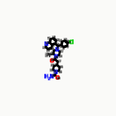 CC(C)[C@H]1CN(C(c2ccc(Cl)cc2)c2cccc3ncccc23)CCN1C(=O)CC1CCN(C(N)=O)CC1